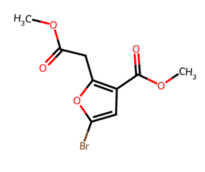 COC(=O)Cc1oc(Br)cc1C(=O)OC